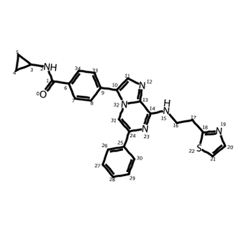 O=C(NC1CC1)c1ccc(-c2cnc3c(NCCc4nccs4)nc(-c4ccccc4)cn23)cc1